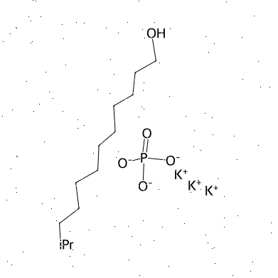 CC(C)CCCCCCCCCCO.O=P([O-])([O-])[O-].[K+].[K+].[K+]